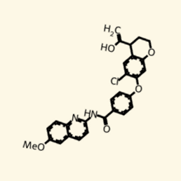 C=C(O)C1CCOc2cc(Oc3ccc(C(=O)Nc4ccc5cc(OC)ccc5n4)cc3)c(Cl)cc21